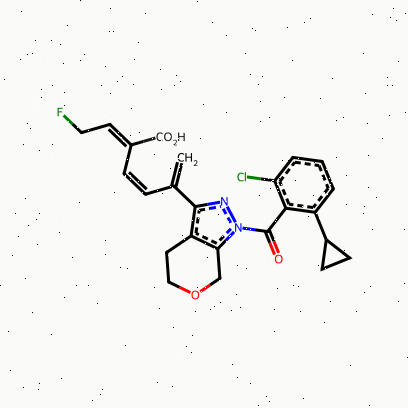 C=C(/C=C\C(=C/CF)C(=O)O)c1nn(C(=O)c2c(Cl)cccc2C2CC2)c2c1CCOC2